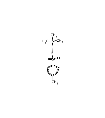 Cc1ccc(S(=O)(=O)C#C[Si](C)(C)C)cc1